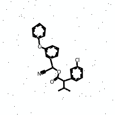 CC(C)C(C(=O)OC(C#N)c1cccc(Oc2ccccc2)c1)c1cccc(Cl)c1